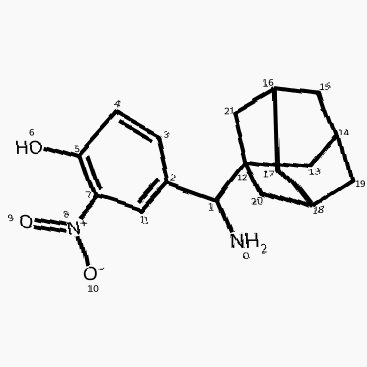 NC(c1ccc(O)c([N+](=O)[O-])c1)C12CC3CC(CC(C3)C1)C2